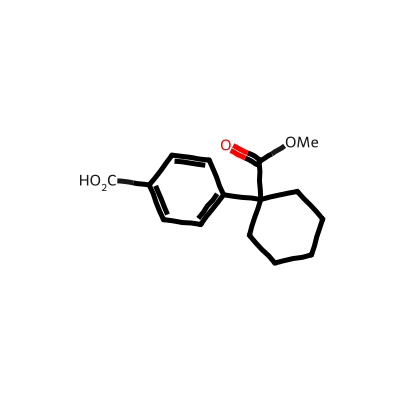 COC(=O)C1(c2ccc(C(=O)O)cc2)CCCCC1